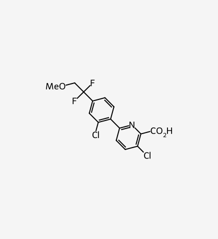 COCC(F)(F)c1ccc(-c2ccc(Cl)c(C(=O)O)n2)c(Cl)c1